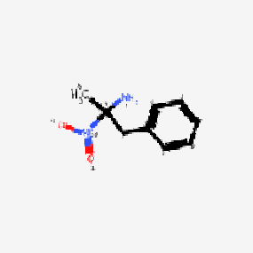 CC(N)(Cc1ccccc1)[N+](=O)[O-]